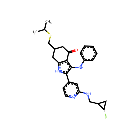 CC(C)SCC1CC(=O)c2c([nH]c(-c3ccnc(NCC4C[C@@H]4F)c3)c2Nc2ccccc2)C1